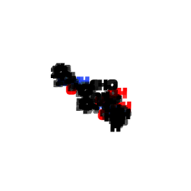 COc1c(CN2O[C@@H](CO)[C@@H]([C@H](C)O)[C@H]2C(=O)N[C@H]2C[C@H]3C[C@@H]([C@@H]2C)C3(C)C)cccc1-c1cc(C=O)cc(C(=O)N[C@@H](Cc2ccccc2)CN(C)C)c1